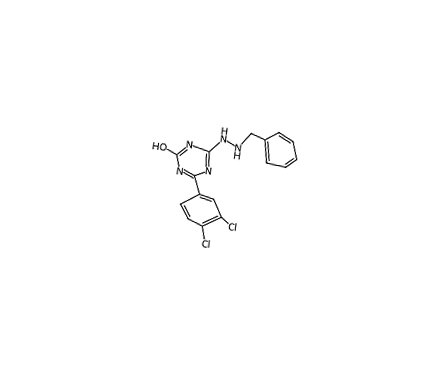 Oc1nc(NNCc2ccccc2)nc(-c2ccc(Cl)c(Cl)c2)n1